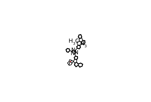 CC1(C)c2ccccc2-c2cccc(-c3ccc(-c4nc(-c5ccccc5)nc(-c5ccc6c(c5)C5(c7ccc8ccccc8c7-6)C6CC7CC8CC6C5(C8)C7)n4)cc3)c21